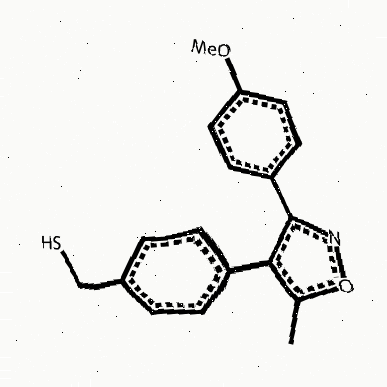 COc1ccc(-c2noc(C)c2-c2ccc(CS)cc2)cc1